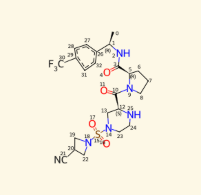 C[C@@H](NC(=O)[C@H]1CCCN1C(=O)[C@@H]1CN(S(=O)(=O)N2CC(C#N)C2)CCN1)c1ccc(C(F)(F)F)cc1